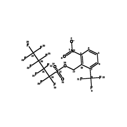 O=[N+]([O-])c1cccc(C(F)(F)F)c1COS(=O)(=O)C(F)(F)C(F)(F)C(F)(F)C(F)(F)F